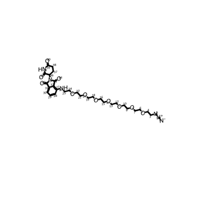 [N-]=[N+]=NCCOCCOCCOCCOCCOCCOCCOCCNc1cccc2c1C(=O)N(C1CCC(=O)NC1=O)C2=O